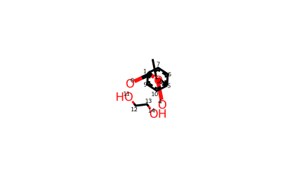 O=c1oc(=O)c2ccc1cc2.OCCO